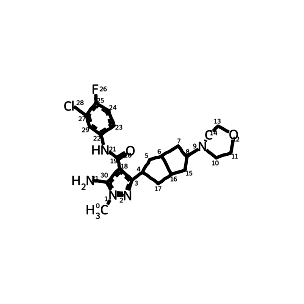 Cn1nc(C2CC3CC(N4CCOCC4)CC3C2)c(C(=O)Nc2ccc(F)c(Cl)c2)c1N